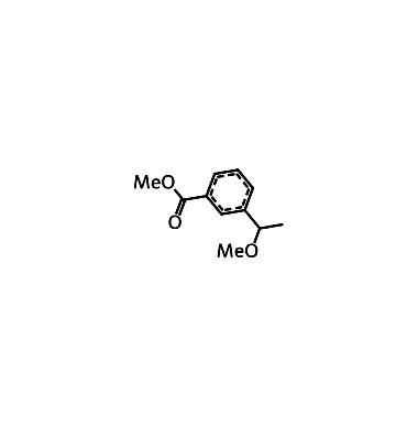 COC(=O)c1cccc(C(C)OC)c1